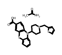 CC(N)=O.O=C(O)c1ccc2c(c1)Sc1ccccc1N2C1CCN(Cc2cccs2)CC1